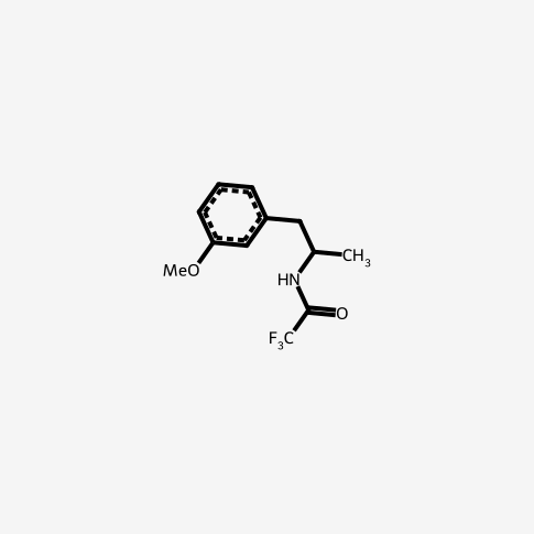 COc1cccc(CC(C)NC(=O)C(F)(F)F)c1